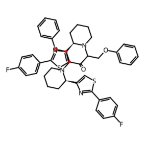 O=C(C(COc1ccccc1)N1CCCC[C@@H]1c1csc(-c2ccc(F)cc2)n1)C(COc1ccccc1)N1CCCC[C@@H]1c1csc(-c2ccc(F)cc2)n1